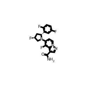 NC(=O)c1cnn2ccc(N3C[C@@H](F)C[C@@H]3c3cc(F)ccc3F)c(F)c12